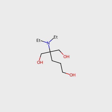 CCN(CC)C(CO)(CO)CCCO